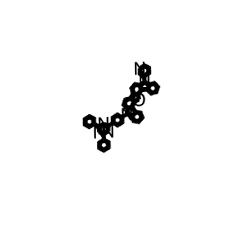 c1ccc(-c2nc(-c3ccccc3)nc(-c3ccc(-n4c5ccccc5c5c6oc7c(ccc8c7c7ccccc7n8-c7cccnc7)c6ccc54)cc3)n2)cc1